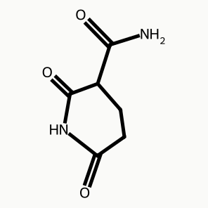 NC(=O)C1CCC(=O)NC1=O